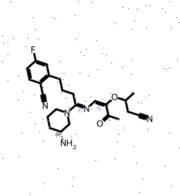 CC(=O)/C(=C\N=C(/CCCc1cc(F)ccc1C#N)N1CCC[C@@H](N)C1)OC(C)CC#N